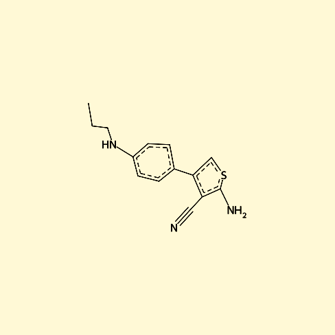 CCCNc1ccc(-c2csc(N)c2C#N)cc1